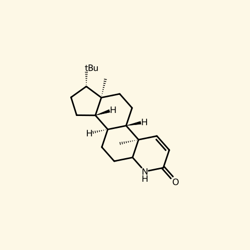 CC(C)(C)[C@H]1CC[C@H]2[C@@H]3CCC4NC(=O)C=C[C@]4(C)[C@H]3CC[C@]12C